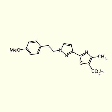 COc1ccc(CCn2ccc(-c3nc(C)c(C(=O)O)s3)n2)cc1